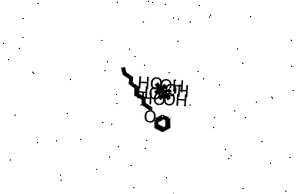 CCCCCCCCCOc1ccccc1.OC(O)(O)C(O)(O)O